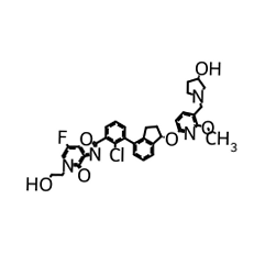 COc1nc(O[C@H]2CCc3c(-c4cccc(-c5nc6c(=O)n(CCO)cc(F)c6o5)c4Cl)cccc32)ccc1CN1CC[C@@H](O)C1